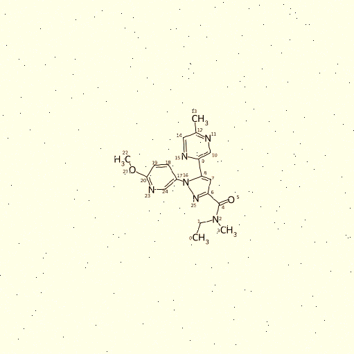 CCN(C)C(=O)c1cc(-c2cnc(C)cn2)n(-c2ccc(OC)nc2)n1